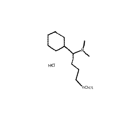 CCCCCCCCCCCC(C1CCCCC1)N(C)C.Cl